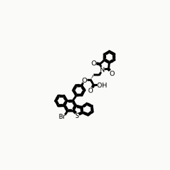 O=C(O)[C@@H](CCN1C(=O)c2ccccc2C1=O)Oc1ccc(-c2c3ccccc3c(Br)c3sc4ccccc4c23)cc1